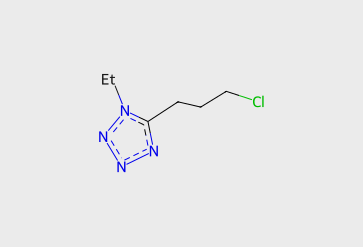 CCn1nnnc1CCCCl